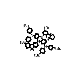 CC(C)(C)c1ccc(N(c2ccc(C(C)(C)C)cc2)c2ccc3c(c2)N(c2ccc4c(c2)-c2ccccc2C4(C)C)c2cc(N(c4ccc(C(C)(C)C)cc4)c4ccc(C(C)(C)C)cc4)cc4c2B3c2cc(C(C)(C)C)cc3c2N4C2(C)CCCCC32C)cc1